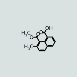 COC(=O)c1c(C)ccc2cccc(C(=O)O)c12